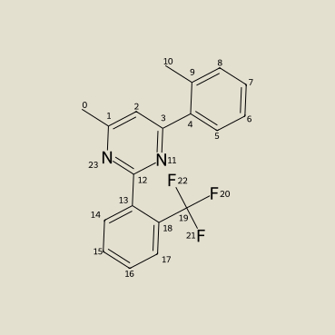 Cc1cc(-c2ccccc2C)nc(-c2ccccc2C(F)(F)F)n1